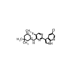 C[C@H]1C[C@@H](Nc2nc(-c3c[nH]c4ncc(Cl)cc34)ncc2F)CC(C)(C)C1